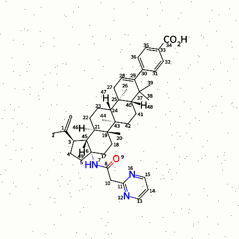 C=C(C)[C@@H]1CC[C@]2(NC(=O)Cc3ncccn3)CC[C@]3(C)[C@H](CC[C@@H]4[C@@]5(C)CC=C(c6ccc(C(=O)O)cc6)C(C)(C)[C@@H]5CC[C@]43C)[C@@H]12